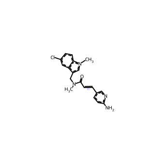 CN(Cc1cn(C)c2ccc(Cl)cc12)C(=O)/C=C/c1ccc(N)nc1